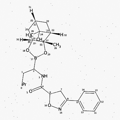 CC(C)CC(NC(=O)C1CC(c2ccccc2)=NO1)B1O[C@@H]2C[C@@H]3C[C@@H](C3(C)C)[C@]2(C)O1